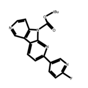 CC(C)(C)OC(=O)n1c2ccncc2c2ccc(-c3ccc(F)nc3)nc21